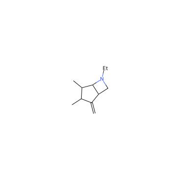 C=C1C(C)C(C)C2C1CN2CC